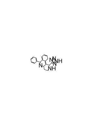 C1=CCC2=C3C(CCNC3c3nn[nH]n3)N=C(c3ccccc3)C2=C1